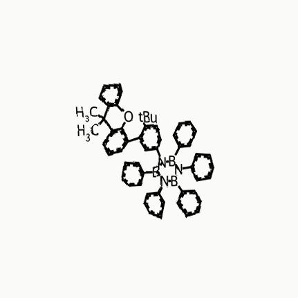 CC(C)(C)c1ccc(N2B(c3ccccc3)N(c3ccccc3)B(c3ccccc3)N(c3ccccc3)B2c2ccccc2)cc1-c1cccc2c1Oc1ccccc1C2(C)C